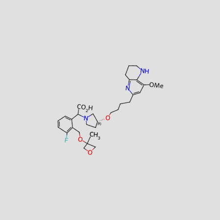 COc1cc(CCCCO[C@@H]2CCN(C(C(=O)O)c3cccc(F)c3COC3(C)COC3)C2)nc2c1NCCC2